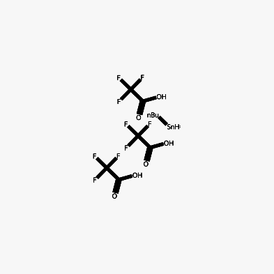 CCC[CH2][SnH].O=C(O)C(F)(F)F.O=C(O)C(F)(F)F.O=C(O)C(F)(F)F